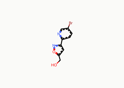 OCc1cc(-c2ccc(Br)cn2)no1